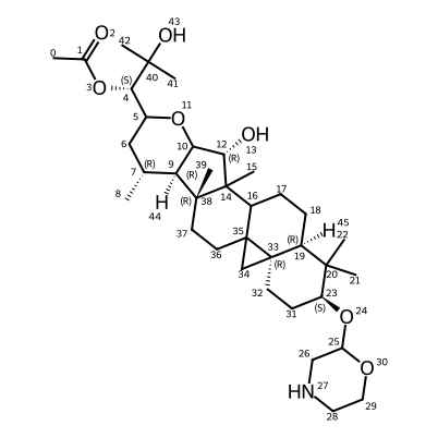 CC(=O)O[C@@H](C1C[C@@H](C)[C@H]2C(O1)[C@H](O)C1(C)C3CC[C@H]4C(C)(C)[C@@H](OC5CNCCO5)CC[C@@]45CC35CC[C@]21C)C(C)(C)O